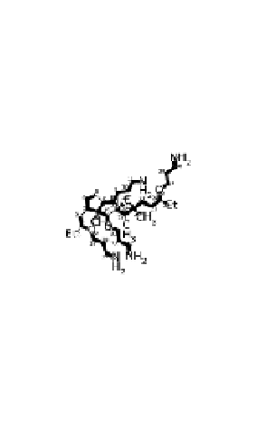 CC[C@H](C[C@@H]1CC[C@H]([C@H](C)CCCN)[C@@]1(C)[C@H](C[C@@H](C)C(C)(C)CC[C@H](CC)OCCCN)OCCCN)OCCCN